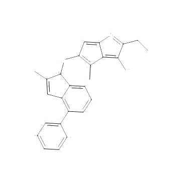 CCC1=NC2=CC([SiH2]C3C(C)=Cc4c(-c5ccccc5)cccc43)=C(C)C2=C1C